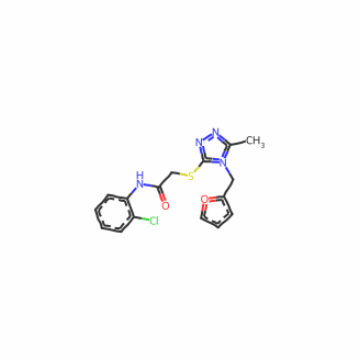 Cc1nnc(SCC(=O)Nc2ccccc2Cl)n1Cc1ccco1